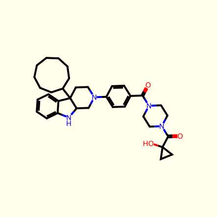 O=C(c1ccc(N2CCC3(C4CCCCCCCC4)c4ccccc4NC3C2)cc1)N1CCN(C(=O)C2(O)CC2)CC1